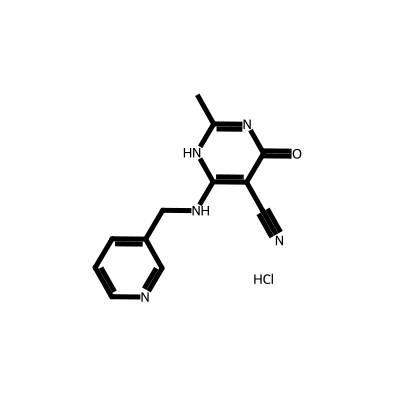 Cc1nc(=O)c(C#N)c(NCc2cccnc2)[nH]1.Cl